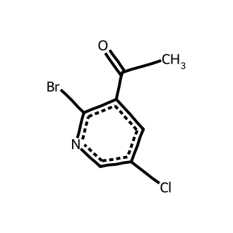 CC(=O)c1cc(Cl)cnc1Br